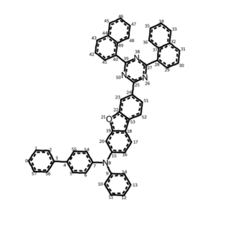 c1ccc(-c2ccc(N(c3ccccc3)c3ccc4c(c3)oc3cc(-c5nc(-c6cccc7ccccc67)nc(-c6cccc7ccccc67)n5)ccc34)cc2)cc1